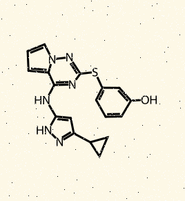 Oc1cccc(Sc2nc(Nc3cc(C4CC4)n[nH]3)c3cccn3n2)c1